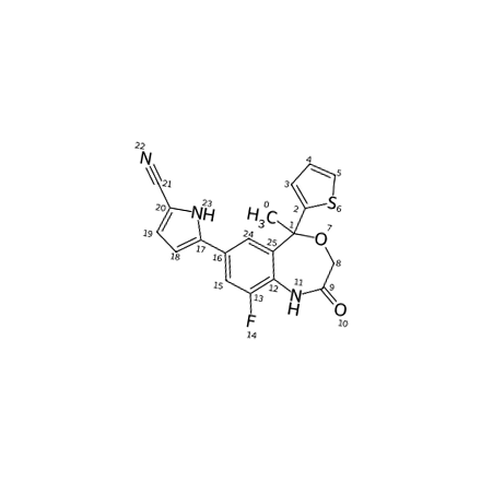 CC1(c2cccs2)OCC(=O)Nc2c(F)cc(-c3ccc(C#N)[nH]3)cc21